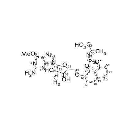 COc1nc(N)nc2c1ncn2[C@@H]1O[C@H](COc2ccc3ccccc3c2O/[P+]([O-])=N/C(C)C(=O)O)[C@@H](O)[C@@]1(C)O